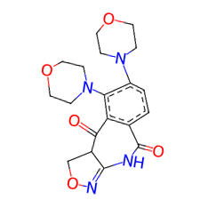 O=C1NC2=NOCC2C(=O)c2c1ccc(N1CCOCC1)c2N1CCOCC1